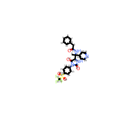 CC(NC(=O)Cc1ccccc1)(c1ccncc1)C1NC(=O)N(c2ccc(S(=O)(=O)C(F)(F)F)cc2)C1=O